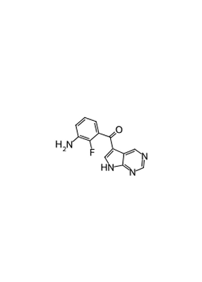 Nc1cccc(C(=O)c2c[nH]c3ncncc23)c1F